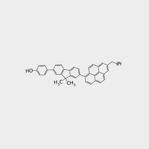 CC(C)Cc1cc2ccc3ccc(-c4ccc5c(c4)C(C)(C)c4cc(-c6ccc(O)cc6)ccc4-5)c4ccc(c1)c2c34